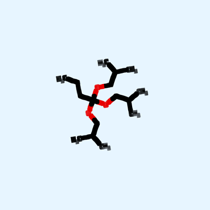 CCCC(OCC(C)C)(OCC(C)C)OCC(C)C